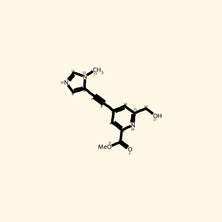 COC(=O)c1cc(C#Cc2cncn2C)cc(CO)n1